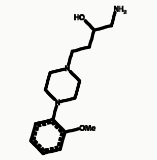 COc1ccccc1N1CCN(CCC(O)CN)CC1